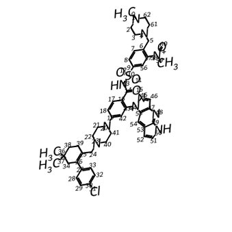 CN1CCN(Cc2ccc(S(=O)(=O)NC(=O)c3ccc(N4CCN(CC5=C(c6ccc(Cl)cc6)CC(C)(C)CC5)CC4)cc3-n3ncc4nc5[nH]ccc5cc43)cc2[N+](C)=O)CC1